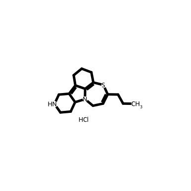 CCCC1=CCN2C3=C(CCCC3=C3CNCCC32)S1.Cl